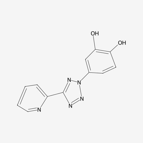 Oc1ccc(-n2nnc(-c3ccccn3)n2)cc1O